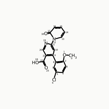 COc1ccc(Cl)cc1-c1cc(-n2ccccc2=O)ncc1C(=O)O